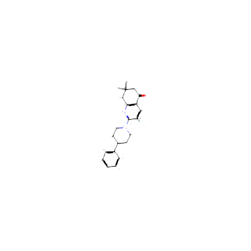 CC1(C)CC(=O)c2cc(Br)c(N3CCC(c4ccccc4)CC3)nc2C1